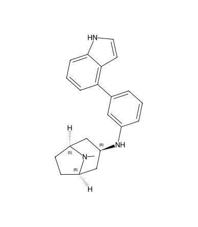 CN1[C@@H]2CC[C@H]1C[C@@H](Nc1cccc(-c3cccc4[nH]ccc34)c1)C2